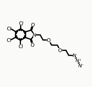 [N-]=[N+]=NCCOCCOCCN1C(=O)c2c(Cl)c(Cl)c(Cl)c(Cl)c2C1=O